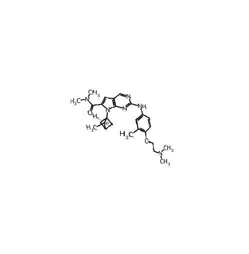 Cc1cc(Nc2ncc3cc(C(=O)N(C)C)n(C45CC(C4)[C@H]5C)c3n2)ccc1OCCN(C)C